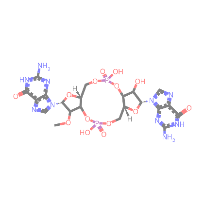 COC1C2OP(=O)(O)OC[C@H]3O[C@@H](n4cnc5c(=O)[nH]c(N)nc54)C(O)C3OP(=O)(O)OC[C@H]2O[C@H]1n1cnc2c(=O)[nH]c(N)nc21